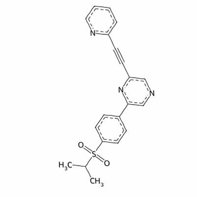 CC(C)S(=O)(=O)c1ccc(-c2cncc(C#Cc3ccccn3)n2)cc1